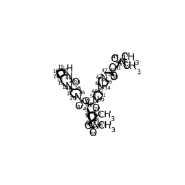 Cc1cc(C[C@@H](OC(=O)N2CCC(N3CCc4ccccc4NC3=O)CC2)C(=O)N2CCC(N3CCN(CC(=O)OCC(=O)N(C)C)CC3)CC2)cc2oc(=O)n(C)c12